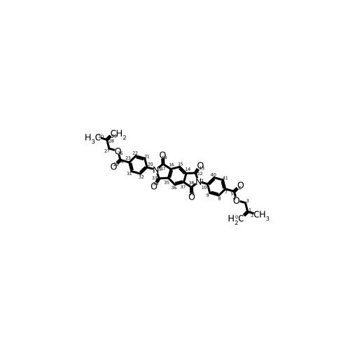 C=C(C)COC(=O)c1ccc(-n2c(=O)c3cc4c(=O)n(-c5ccc(C(=O)OCC(=C)C)cc5)c(=O)c4cc3c2=O)cc1